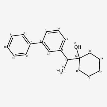 CC(c1cccc(-c2ccccc2)c1)C1(O)CCCCC1